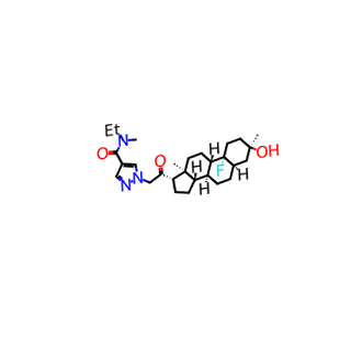 CCN(C)C(=O)c1cnn(CC(=O)[C@H]2CC[C@H]3[C@@H]4CC[C@@H]5C[C@](C)(O)CC[C@]5(F)[C@H]4CC[C@]23C)c1